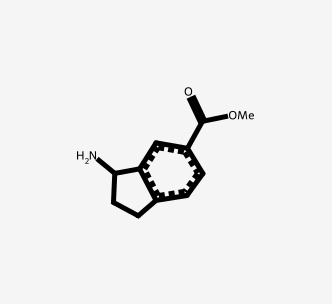 COC(=O)c1ccc2c(c1)C(N)CC2